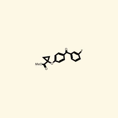 COC(=O)C1(Oc2ccc(C(=O)c3cccc(F)c3)cc2)CC1